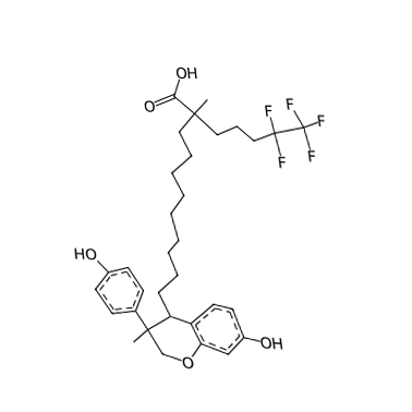 CC(CCCCCCCCCC1c2ccc(O)cc2OCC1(C)c1ccc(O)cc1)(CCCC(F)(F)C(F)(F)F)C(=O)O